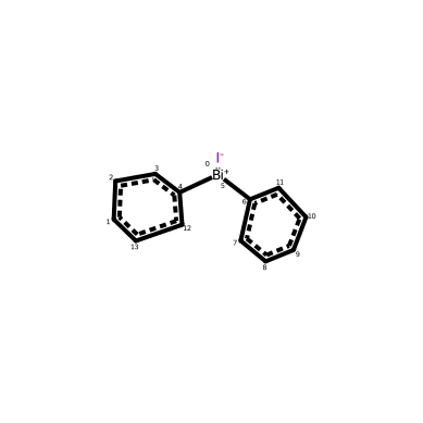 [I-].c1cc[c]([Bi+][c]2ccccc2)cc1